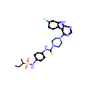 CCC(C)S(=O)(=O)Nc1ccc(NC(=S)N2CCN(c3ncnc4[nH]c5cc(F)ccc5c34)CC2)cc1